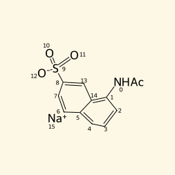 CC(=O)Nc1cccc2ccc(S(=O)(=O)[O-])cc12.[Na+]